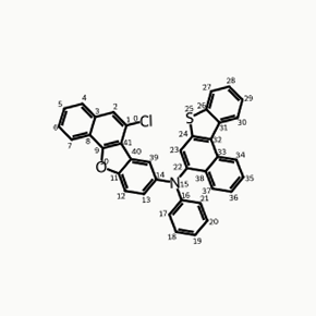 Clc1cc2ccccc2c2oc3ccc(N(c4ccccc4)c4cc5sc6ccccc6c5c5ccccc45)cc3c12